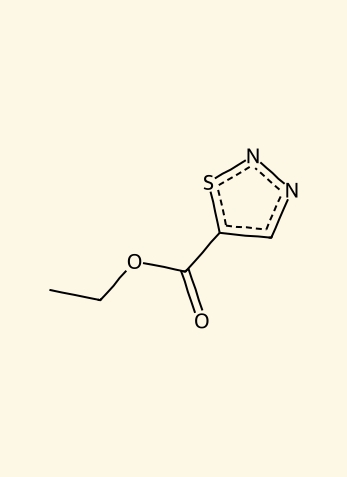 CCOC(=O)c1cnns1